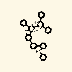 C1=C(c2ccccc2)N=C(C2=NC(c3ccccc3)=C3Oc4ccc(-c5cccc(-c6ccccc6Nc6ccccc6)c5)cc4C3N2)NC1c1ccccc1